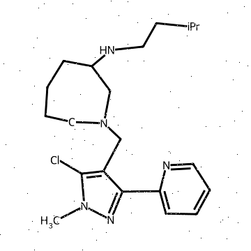 CC(C)CCNC1CCCCN(Cc2c(-c3ccccn3)nn(C)c2Cl)C1